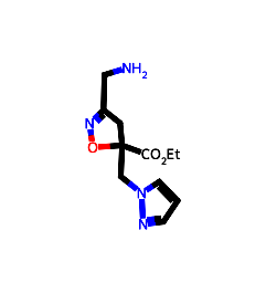 CCOC(=O)C1(Cn2cccn2)CC(CN)=NO1